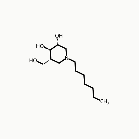 CCCCCCCN1C[C@H](CO)[C@@H](O)[C@H](O)C1